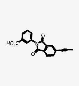 CC#Cc1ccc2c(c1)C(=O)N(c1cccc(C(=O)O)c1)C2=O